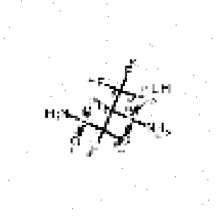 NS(=O)(=O)C(F)(F)C(F)(C(F)(F)F)S(N)(=O)=O.[LiH]